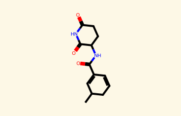 CC1C=C(C(=O)NC2CCC(=O)NC2=O)C=CC1